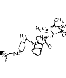 CSc1cc(C)[nH]c(=O)c1CNC(=O)c1c(C)n([C@H](C)C2CCC(NC[SiH](F)F)CC2)c2ccccc12